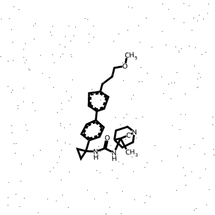 COCCCc1ccc(-c2ccc(C3(NC(=O)NC4(C)CN5CCC4CC5)CC3)cc2)cc1